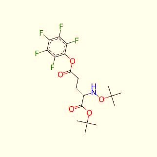 CC(C)(C)ON[C@@H](CCC(=O)Oc1c(F)c(F)c(F)c(F)c1F)C(=O)OC(C)(C)C